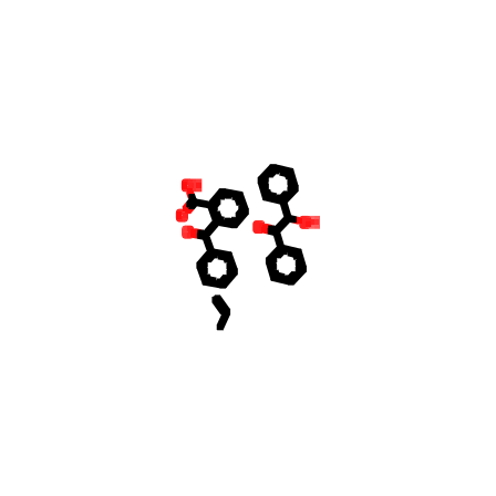 C=CC.O=C(O)c1ccccc1C(=O)c1ccccc1.O=C(c1ccccc1)C(O)c1ccccc1